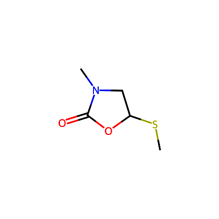 CSC1CN(C)C(=O)O1